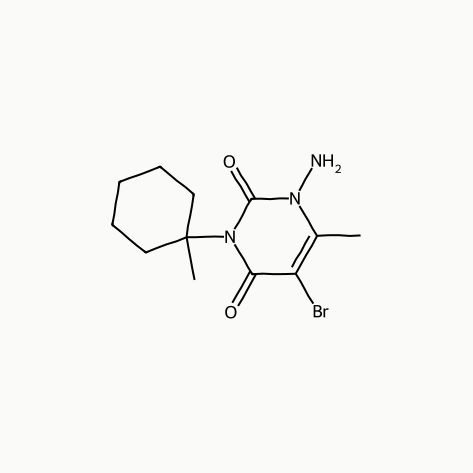 Cc1c(Br)c(=O)n(C2(C)CCCCC2)c(=O)n1N